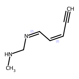 C#C/C=C\C=N/CNC